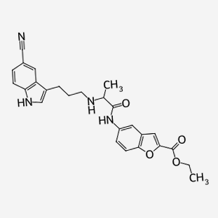 CCOC(=O)c1cc2cc(NC(=O)C(C)NCCCc3c[nH]c4ccc(C#N)cc34)ccc2o1